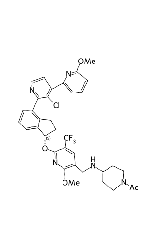 COc1cccc(-c2ccnc(-c3cccc4c3CC[C@@H]4Oc3nc(OC)c(CNC4CCN(C(C)=O)CC4)cc3C(F)(F)F)c2Cl)n1